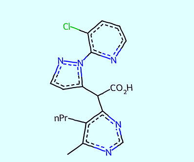 CCCc1c(C)ncnc1C(C(=O)O)c1ccnn1-c1ncccc1Cl